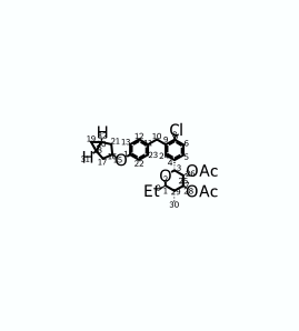 CC[C@H]1O[C@H](c2ccc(Cl)c(Cc3ccc(O[C@H]4C[C@@H]5C[C@@H]5C4)cc3)c2)[C@H](OC(C)=O)[C@@H](OC(C)=O)[C@@H]1C